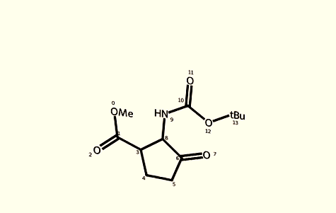 COC(=O)C1CCC(=O)C1NC(=O)OC(C)(C)C